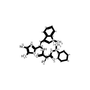 Cc1oc([C@@H](Cc2cn(C)c3ccccc23)NC(=O)[C@@H](C(=O)ON(C)C2CCCCC2)C(C)C)nc1C#N